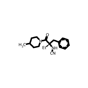 CC[C@@](Cc1ccccc1)(NC#N)C(=O)N1CCC(C)CC1